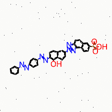 O=S(=O)(O)c1ccc2c(ccc3nn(-c4ccc5c(O)c(N=Nc6ccc(N=Nc7ccccc7)cc6)ccc5c4)nc32)c1